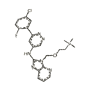 C[Si](C)(C)CCOCn1c(Nc2cnnc(-c3cc(Cl)ccc3F)c2)nc2cccnc21